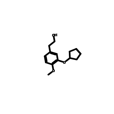 COc1ccc(CCO)cc1OC1CCCC1